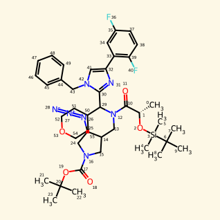 C[C@H](O[Si](C)(C)C(C)(C)C)C(=O)N(CC1CN(C(=O)OC(C)(C)C)CC1N=[N+]=[N-])C(c1nc(-c2cc(F)ccc2F)cn1Cc1ccccc1)C1CCOCC1